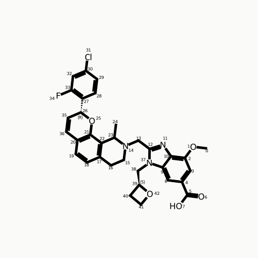 COc1cc(C(=O)O)cc2c1nc(CN1CCc3ccc4c(c3C1C)O[C@@H](c1ccc(Cl)cc1F)C=C4)n2C[C@@H]1CCO1